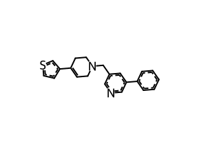 C1=C(c2ccsc2)CCN(Cc2cncc(-c3ccccc3)c2)C1